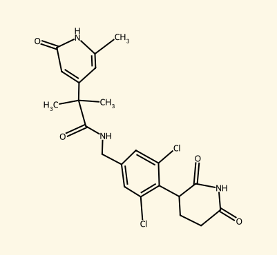 Cc1cc(C(C)(C)C(=O)NCc2cc(Cl)c(C3CCC(=O)NC3=O)c(Cl)c2)cc(=O)[nH]1